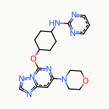 c1cnc(NC2CCC(Oc3nc(N4CCOCC4)cc4ncnn34)CC2)nc1